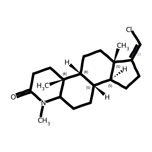 CN1C(=O)CC[C@@]2(C)C1CC[C@@H]1[C@H]2CC[C@]2(C)/C(=C\Cl)CC[C@@H]12